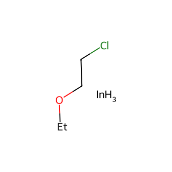 [CH2]COCCCl.[InH3]